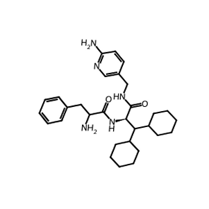 Nc1ccc(CNC(=O)[C@H](NC(=O)C(N)Cc2ccccc2)C(C2CCCCC2)C2CCCCC2)cn1